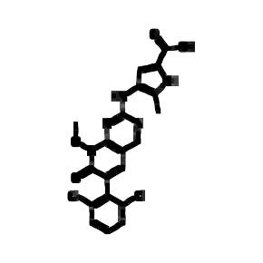 COn1c(=O)c(-c2c(Cl)cccc2Cl)cc2cnc(Nc3cc(C(=O)O)[nH]c3C)nc21